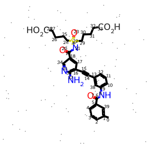 Cc1cccc(C(=O)Nc2cccc(C#Cc3cc(C(=O)N=S(=O)(CCCCC(=O)O)CCCCC(=O)O)cnc3N)c2)c1